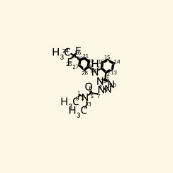 CCN(CC)C(=O)Cn1nnc(-c2ccccc2Nc2ccc(C(C)(F)F)cc2)n1